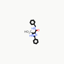 O=C(NCc1ccccc1)c1nc(-c2ccccc2)[nH]c1C(=O)O